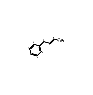 CCCC=CCc1ccccc1